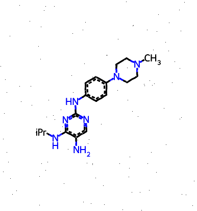 CC(C)Nc1nc(Nc2ccc(N3CCN(C)CC3)cc2)ncc1N